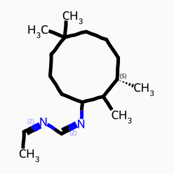 C/C=N\C=N/C1CCCC(C)(C)CCC[C@H](C)C1C